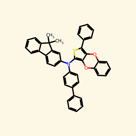 CC1(C)c2ccccc2-c2ccc(N(c3ccc(-c4ccccc4)cc3)c3sc(-c4ccccc4)c4c3Oc3ccccc3O4)cc21